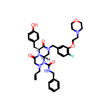 C=CCN1CC(=O)N2[C@@H](Cc3ccc(O)cc3)C(=O)N(Cc3ccc(F)c(OCCN4CCOCC4)c3)C[C@@H]2N1C(=O)NCc1ccccc1